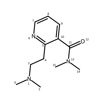 CN(C)CCc1ncccc1C(=O)N(C)C